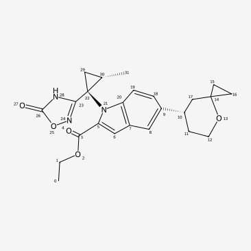 CCOC(=O)c1cc2cc([C@H]3CCOC4(CC4)C3)ccc2n1[C@@]1(c2noc(=O)[nH]2)C[C@@H]1C